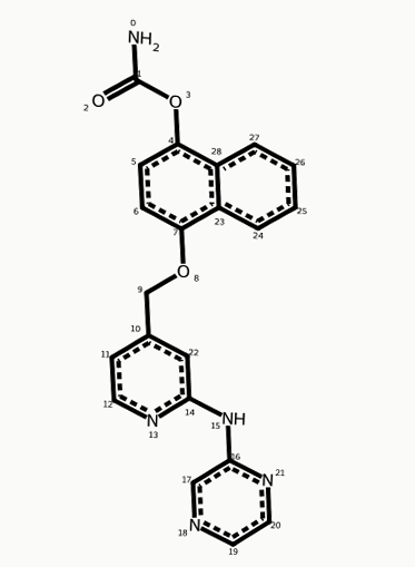 NC(=O)Oc1ccc(OCc2ccnc(Nc3cnccn3)c2)c2ccccc12